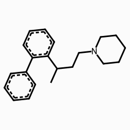 CC(CCN1CCCCC1)c1ccccc1-c1ccccc1